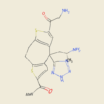 CNC(=O)c1cc2c(s1)CCc1sc(C(=O)CN)cc1C2(C[C@@H](C)N)c1nn[nH]n1